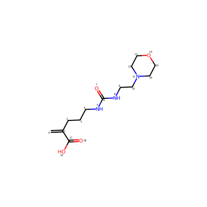 C=C(CCCNC(=O)NCCN1CCOCC1)C(=O)O